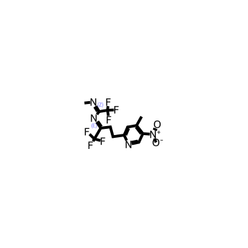 C/N=C(\N=C(/CCc1cc(C)c([N+](=O)[O-])cn1)C(F)(F)F)C(F)(F)F